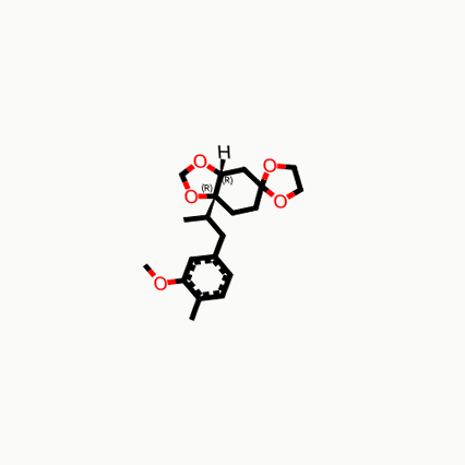 COc1cc(CC(C)[C@]23CCC4(C[C@H]2OCO3)OCCO4)ccc1C